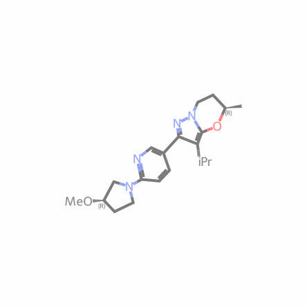 CO[C@@H]1CCN(c2ccc(-c3nn4c(c3C(C)C)O[C@H](C)CC4)cn2)C1